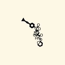 CC(C[C@H]1CN(c2ccc(C#CC3CC3)cc2)C(=O)O1)(C(=O)NOC1CCCCO1)S(C)(=O)=O